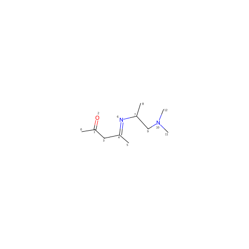 CC(=O)CC(C)=NC(C)CN(C)C